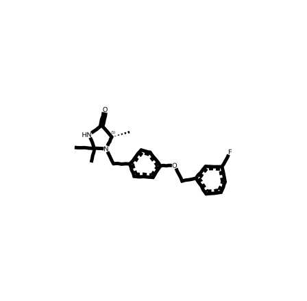 C[C@H]1C(=O)NC(C)(C)N1Cc1ccc(OCc2cccc(F)c2)cc1